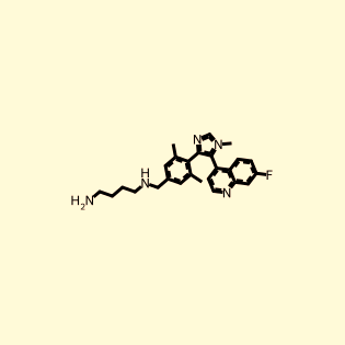 Cc1cc(CNCCCCN)cc(C)c1-c1ncn(C)c1-c1ccnc2cc(F)ccc12